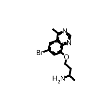 Cc1ncnc2c(OCCC(C)N)cc(Br)cc12